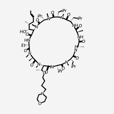 C/C=C/C[C@@H](C)[C@@H](O)[C@H]1C(=O)N[C@@H](CC)C(=O)N(C)[C@H](C)C(=O)N(C)[C@@H]([C@@H](C)OCCCCN2CCOCC2)C(=O)N[C@@H](C(C)C)C(=O)N(C)[C@@H](CC(C)C)C(=O)N[C@@H](C)C(=O)N[C@H](C)C(=O)N[C@@H](CC(C)C)C(=O)N(C)[C@@H](CC(C)C)C(=O)N(C)[C@@H](C(C)C)C(=O)N1C